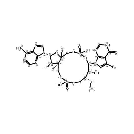 CO[C@@H]1COP(=O)(O)OC[C@H]2[C@@H](F)[C@H](n3cnc4c(N)ncnc43)O[C@@H]2COP(=O)(S)O[C@@H](n2cc(F)c3c(=O)[nH]cnc32)[C@@H]1O